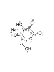 [Na+].[O-][C@H]1O[C@H](CO)[C@@H](O)[C@H](O)[C@H]1O